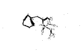 CC=C(Cc1ccccc1)OP(=O)(OC)OC